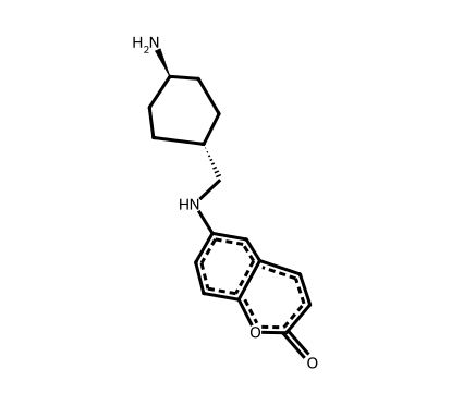 N[C@H]1CC[C@H](CNc2ccc3oc(=O)ccc3c2)CC1